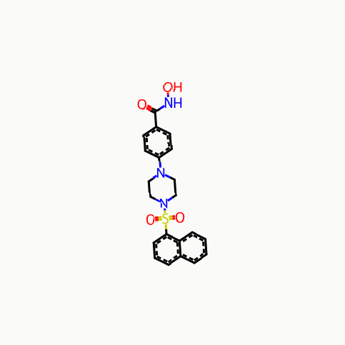 O=C(NO)c1ccc(N2CCN(S(=O)(=O)c3cccc4ccccc34)CC2)cc1